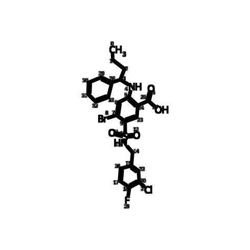 CCCC(Nc1cc(Br)c(S(=O)(=O)NCc2ccc(F)c(Cl)c2)cc1C(=O)O)c1ccccc1